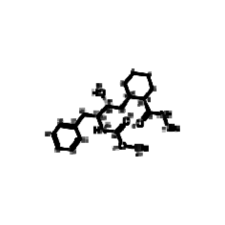 CC(C)(C)NC(=O)[C@@H]1CCCC[C@@H]1C[C@@H](O)[C@H](Cc1ccccc1)NC(=O)OC(C)(C)C